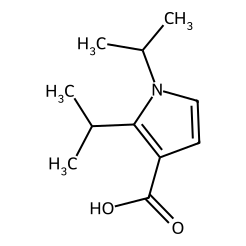 CC(C)c1c(C(=O)O)ccn1C(C)C